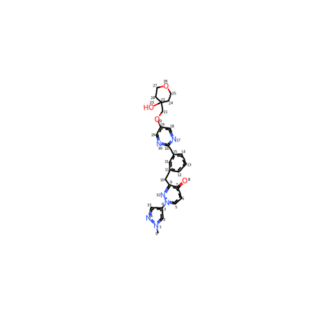 Cn1cc(-n2ccc(=O)c(Cc3cccc(-c4ncc(OCC5(O)CCOCC5)cn4)c3)n2)cn1